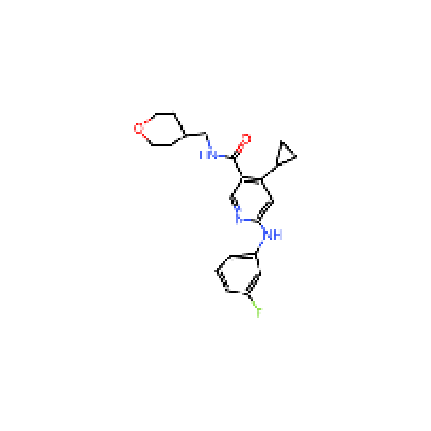 O=C(NCC1CCOCC1)c1cnc(Nc2cccc(F)c2)cc1C1CC1